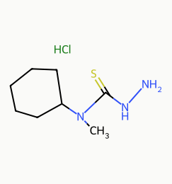 CN(C(=S)NN)C1CCCCC1.Cl